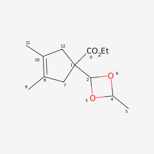 CCOC(=O)C1(C2OC(C)O2)CC(C)=C(C)C1